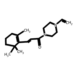 C=CN1CCN(C(=O)/C=C/C2=C(C)CCCC2(C)C)CC1